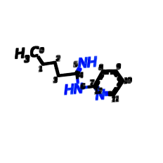 CCCCC(=N)Nc1ccccn1